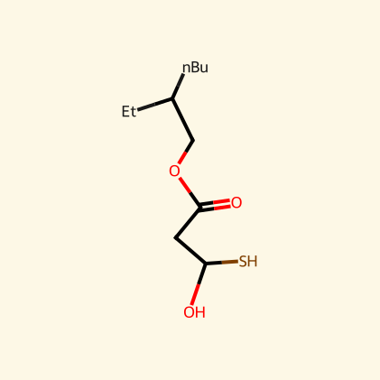 CCCCC(CC)COC(=O)CC(O)S